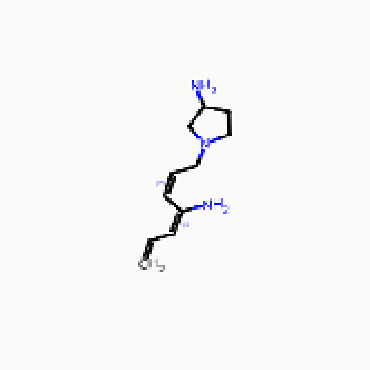 C=C/C=C(N)\C=C/CN1CCC(N)C1